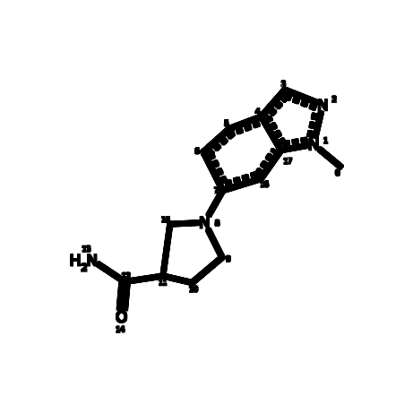 Cn1ncc2ccc(N3CCC(C(N)=O)C3)cc21